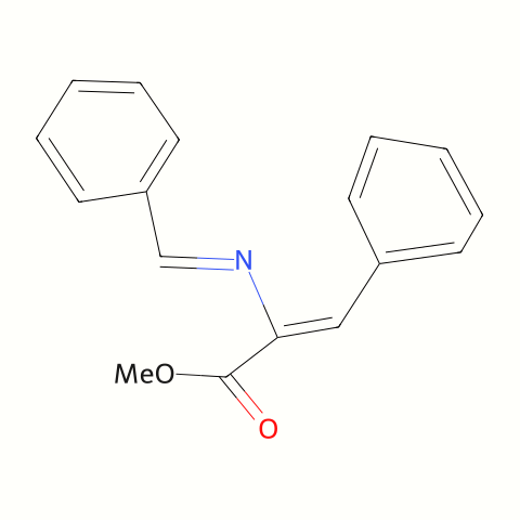 COC(=O)C(=Cc1ccccc1)N=Cc1ccccc1